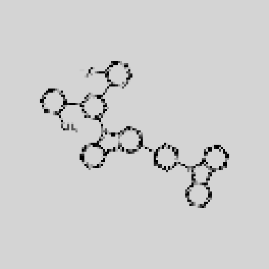 Cc1ccccc1-c1cc(-c2ccccc2C)cc(-n2c3ccccc3c3cc(-c4ccc(-n5c6ccccc6c6ccccc65)cc4)ccc32)c1